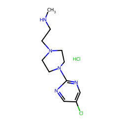 CNCCN1CCN(c2ncc(Cl)cn2)CC1.Cl